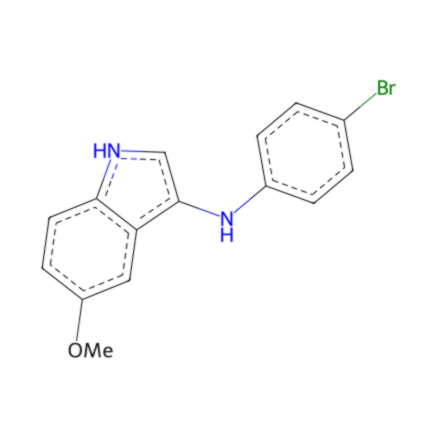 COc1ccc2[nH]cc(Nc3ccc(Br)cc3)c2c1